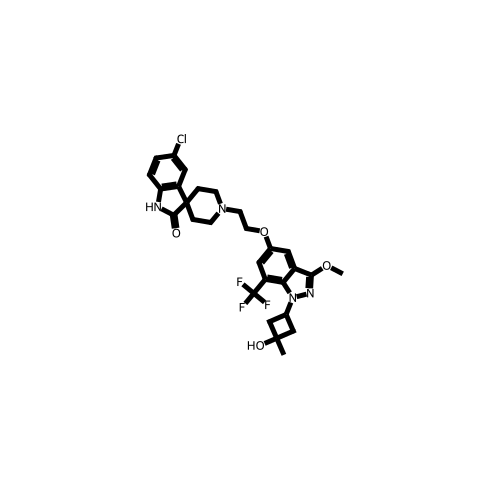 COc1nn(C2CC(C)(O)C2)c2c(C(F)(F)F)cc(OCCN3CCC4(CC3)C(=O)Nc3ccc(Cl)cc34)cc12